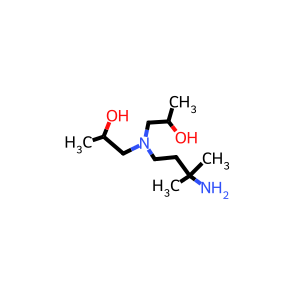 CC(O)CN(CCC(C)(C)N)CC(C)O